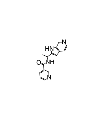 CC(NC(=O)c1cccnc1)c1cc2ccncc2[nH]1